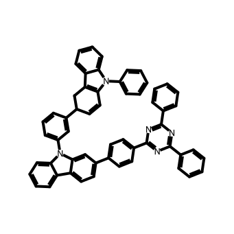 C1=CC(c2cccc(-n3c4ccccc4c4ccc(-c5ccc(-c6nc(-c7ccccc7)nc(-c7ccccc7)n6)cc5)cc43)c2)Cc2c1n(-c1ccccc1)c1ccccc21